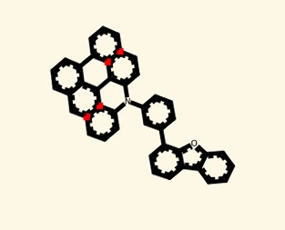 c1ccc(-c2cccc3cccc(-c4ccccc4N(c4ccccc4)c4cccc(-c5cccc6c5oc5ccccc56)c4)c23)cc1